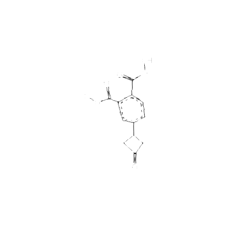 COC(=O)c1ccc(C2CC(=O)C2)cc1C(=O)OC